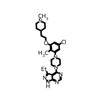 CCc1n[nH]c2ncnc(N3CCN(c4cc(Cl)cc(OCCC5CCN(C)CC5)c4C)CC3)c12